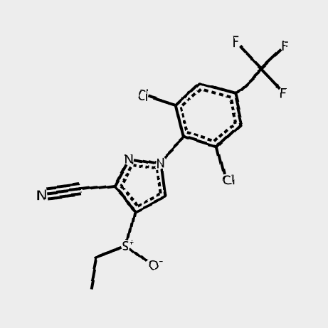 CC[S+]([O-])c1cn(-c2c(Cl)cc(C(F)(F)F)cc2Cl)nc1C#N